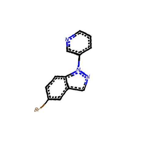 Brc1ccc2c(cnn2-c2cccnc2)c1